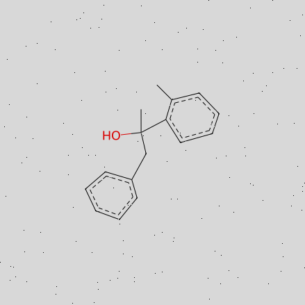 Cc1ccccc1C(C)(O)Cc1ccccc1